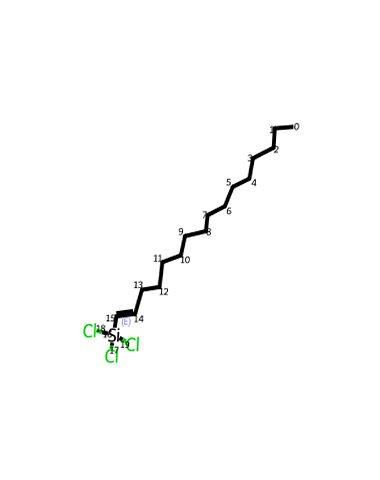 CCCCCCCCCCCCCC/C=C/[Si](Cl)(Cl)Cl